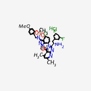 COc1ccc(CN(c2nn(C)c3c(-n4c([C@@H](N)Cc5cc(F)cc(F)c5)nc5nc(C)cc(C)c5c4=O)ccc(Cl)c23)S(C)(=O)=O)cc1.Cl